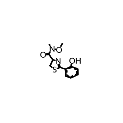 CON(C)C(=O)C1CSC(c2ccccc2O)=N1